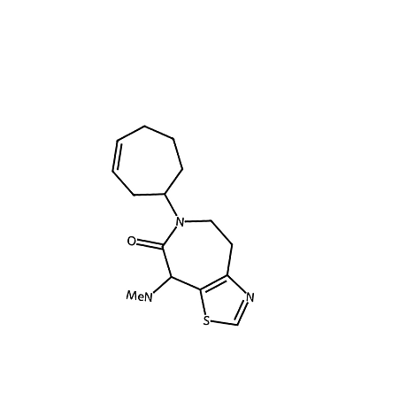 CNC1C(=O)N(C2CC=CCCC2)CCc2ncsc21